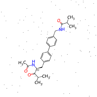 CC(=O)N[C@@H](Cc1ccc(-c2ccc(CNC(=O)C(C)C)cc2)cc1)C(=O)C(C)C